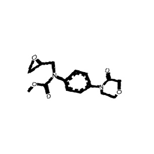 COC(=O)N(CC1CO1)c1ccc(N2CCOCC2=O)cc1